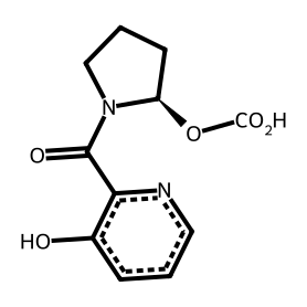 O=C(O)O[C@@H]1CCCN1C(=O)c1ncccc1O